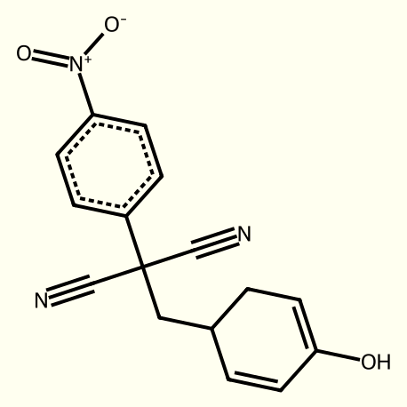 N#CC(C#N)(CC1C=CC(O)=CC1)c1ccc([N+](=O)[O-])cc1